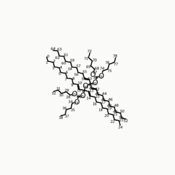 CCCCCCCCCCC=CC(C=CCCCCCCCCCC)(OC(OCCCCC)OCCCCC)OC(C=CCCCCCCCCCC)(C=CCCCCCCCCCC)OC(OCCCCC)OCCCCC